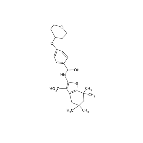 CC1(C)Cc2c(sc(NC(O)c3ccc(OC4CCOCC4)cc3)c2C(=O)O)C(C)(C)C1